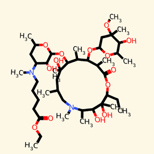 CCOC(=O)CCCCN(C)C1CC(C)OC(OC2C(C)C(OC3CC(C)(OC)C(O)C(C)O3)C(C)C(=O)OC(CC)C(C)(O)C(O)C(C)N(C)CC(C)CC2(C)O)C1O